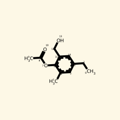 CCc1cc(C)c(OC(C)=O)c(CO)c1